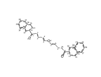 O=C(CCC=COC=CCCC(=O)c1ccc2ccccc2c1)c1ccc2ccccc2c1